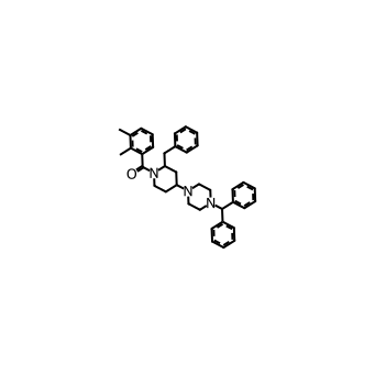 Cc1cccc(C(=O)N2CCC(N3CCN(C(c4ccccc4)c4ccccc4)CC3)CC2Cc2ccccc2)c1C